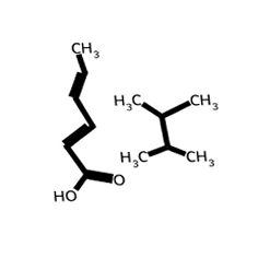 C/C=C/C=C/C(=O)O.CC(C)C(C)C